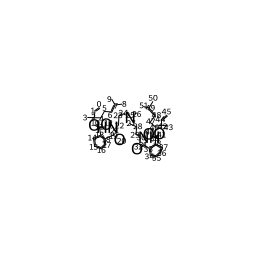 C=CC(C)(CCC=C(C)C)OC(=O)c1ccccc1C(=O)NCCCN(C)CCCNC(=O)c1ccccc1C(=O)OC(C)(C=C)CCC=C(C)C